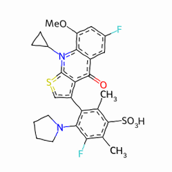 COc1cc(F)cc2c(=O)c3c(-c4c(C)c(S(=O)(=O)O)c(C)c(F)c4N4CCCC4)csc3n(C3CC3)c12